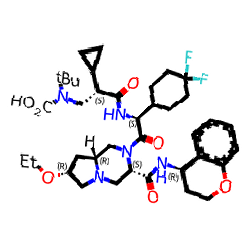 CCO[C@@H]1C[C@@H]2CN(C(=O)[C@@H](NC(=O)[C@H](CN(C(=O)O)C(C)(C)C)C3CC3)C3CCC(F)(F)CC3)[C@H](C(=O)N[C@@H]3CCOc4ccccc43)CN2C1